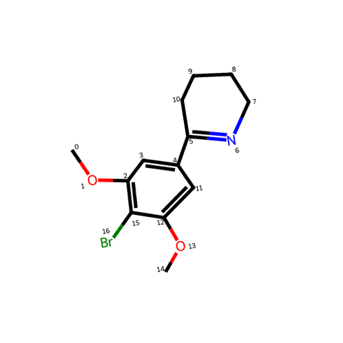 COc1cc(C2=NCCCC2)cc(OC)c1Br